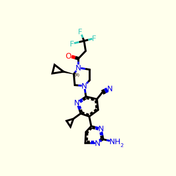 N#Cc1cc(-c2ccnc(N)n2)c(C2CC2)nc1N1CCN(C(=O)CC(F)(F)F)[C@H](C2CC2)C1